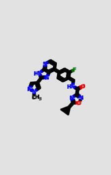 Cn1cc(-c2nc3c(-c4ccc(CNC(=O)c5noc(C6CC6)n5)c(F)c4)ccnc3[nH]2)cn1